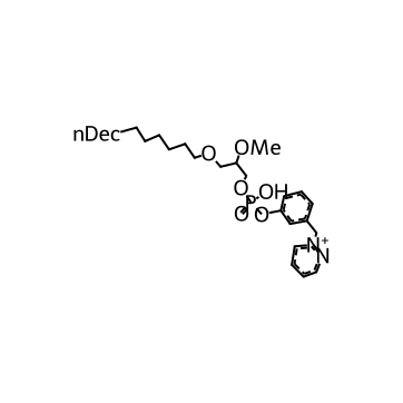 CCCCCCCCCCCCCCCCOCC(COP(=O)(O)Oc1cccc(C[n+]2ccccn2)c1)OC